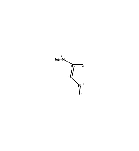 C=N/C=C(\C)NC